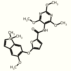 COc1nc(OC)c(NC(=O)c2ccc(Oc3cc4c(cc3OC)C=C[Si]4(C)C)o2)c(OC)n1